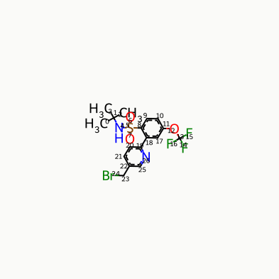 CC(C)(C)NS(=O)(=O)c1ccc(OC(F)(F)F)cc1-c1ccc(CBr)cn1